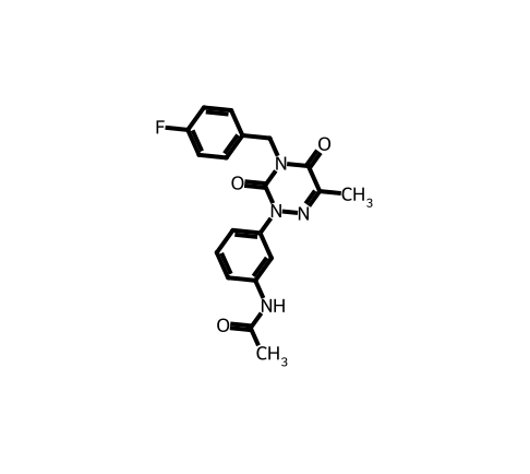 CC(=O)Nc1cccc(-n2nc(C)c(=O)n(Cc3ccc(F)cc3)c2=O)c1